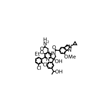 CCOc1c(CC(N)=O)cc([C@@](O)(CNC(=O)c2cc(OC)c3nn(C4CC4)cc3c2)c2cccc(C(C)O)c2)nc1-c1cccc(Cl)c1Cl